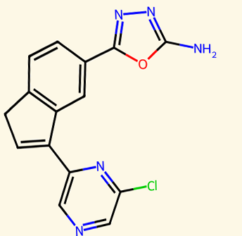 Nc1nnc(-c2ccc3c(c2)C(c2cncc(Cl)n2)=CC3)o1